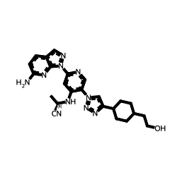 C[C@H](C#N)Nc1cc(-n2ncc3ccc(N)nc32)ncc1-n1cc(C2CCC(CCO)CC2)nn1